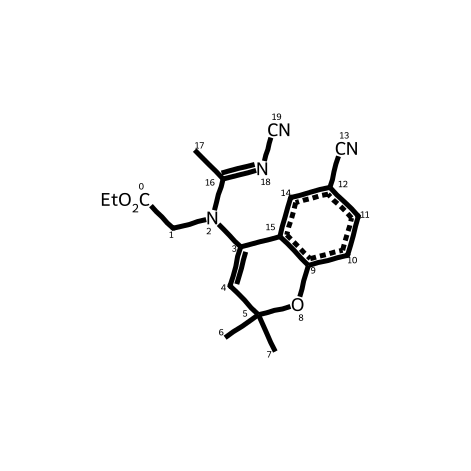 CCOC(=O)CN(C1=CC(C)(C)Oc2ccc(C#N)cc21)C(C)=NC#N